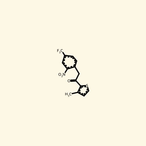 Cc1ccsc1C(=O)Cc1ccc(C(F)(F)F)cc1[N+](=O)[O-]